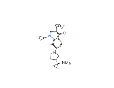 CNC1([C@@H]2CCN(c3ccc4c(=O)c(C(=O)O)cn(C5CC5)c4c3C)C2)CC1